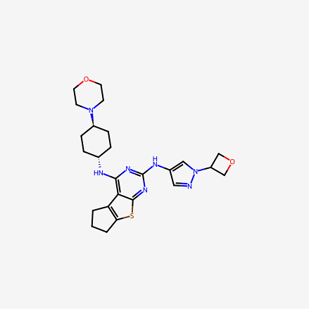 c1nn(C2COC2)cc1Nc1nc(N[C@H]2CC[C@H](N3CCOCC3)CC2)c2c3c(sc2n1)CCC3